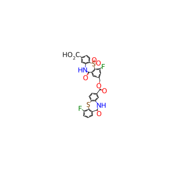 O=C(O)c1ccc2c(c1)NC(=O)c1cc(COC(=O)c3ccc4c(c3)NC(=O)c3cccc(F)c3S4)cc(F)c1S2(=O)=O